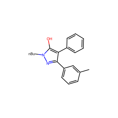 CCCCn1nc(-c2cccc(C)c2)c(-c2ccccc2)c1O